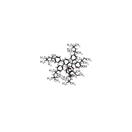 CCC(C)(C)c1cc(C(c2ccc(C(C)(C)CC(C)(C)C)cc2)(c2ccc(O)c(C(C)(C)CC)c2)c2ccc(-c3ccc(C(C)(C)CC(C)(C)C)cc3)c(-c3ccc(C(C)(C)CC(C)(C)C)cc3)c2-c2ccc(C(C)(C)CC(C)(C)C)cc2)ccc1O